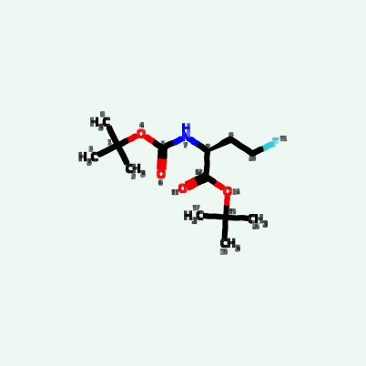 CC(C)(C)OC(=O)N[C@@H](CCF)C(=O)OC(C)(C)C